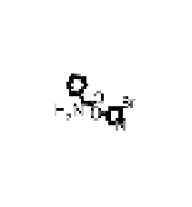 NC(C(=O)Oc1cncc(Br)c1)c1ccccc1